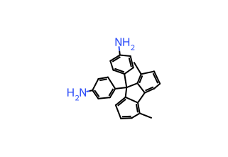 Cc1cccc2c1-c1cccc(C)c1C2(c1ccc(N)cc1)c1ccc(N)cc1